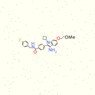 COCCOc1ccc2c(N)c(-c3ccc(C(=O)NCc4ccc(F)cc4)cc3)n(C3CCC3)c2c1